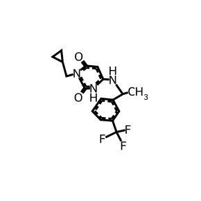 CC(Nc1cc(=O)n(CC2CC2)c(=O)[nH]1)c1cccc(C(F)(F)F)c1